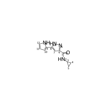 O=C(NC1CC1)c1cc(-c2ccc[nH]2)[nH]n1